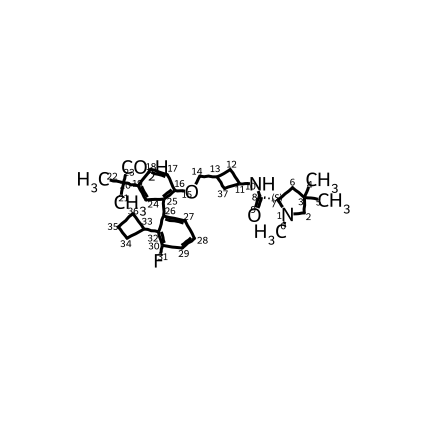 CN1CC(C)(C)C[C@H]1C(=O)NC1CC(COc2ccc(C(C)(C)C(=O)O)cc2-c2cccc(F)c2C2CCC2)C1